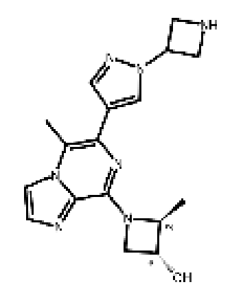 Cc1c(-c2cnn(C3CNC3)c2)nc(N2C[C@@H](O)[C@@H]2C)c2nccn12